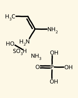 CC=C(N)N.N.O=P(O)(O)O.O=S(=O)(O)O